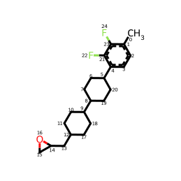 Cc1ccc(C2CCC(C3CCC(CC4CO4)CC3)CC2)c(F)c1F